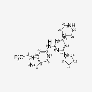 FC(F)(F)Cn1ncc2cnc(Nc3nc(N4CCCC4)cc(N4CCNCC4)n3)cc21